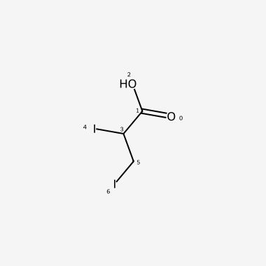 O=C(O)C(I)CI